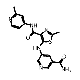 Cc1cc(NC(=O)c2nc(C)sc2Nc2cncc(C(N)=O)c2)ccn1